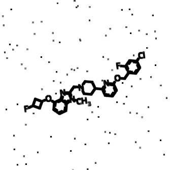 Cn1c(CN2CCC(c3cccc(OCc4ccc(Cl)cc4F)n3)CC2)nc2c(OC3CC(F)C3)cccc21